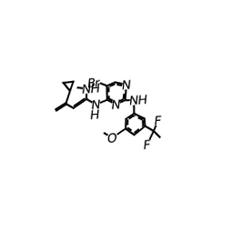 C=C(/C=C(\NC)Nc1nc(Nc2cc(OC)cc(C(C)(F)F)c2)ncc1Br)C1CC1